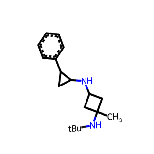 CC(C)(C)NC1(C)CC(NC2CC2c2ccccc2)C1